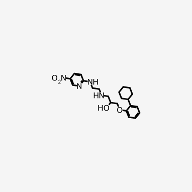 O=[N+]([O-])c1ccc(NCCNCC(O)COc2ccccc2C2CCCCC2)nc1